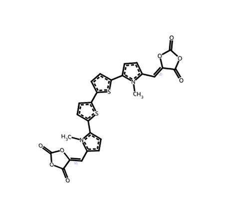 Cn1c(/C=C2\OC(=O)OC2=O)ccc1-c1ccc(-c2ccc(-c3ccc(/C=C4\OC(=O)OC4=O)n3C)s2)s1